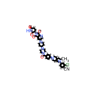 C[C@H]1CC2(CCN(c3ccc(C(=O)N4CCN(C5CCN(c6cnc7c(c6)C(=O)N(C6CCC(=O)NC6=O)C7=O)CC5)CC4)cc3)CC2)CN1c1ccc(C#N)c(Cl)c1